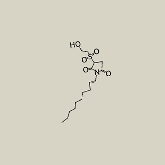 CCCCCCCCC=CN1C(=O)CC(S(=O)(=O)CCO)C1=O